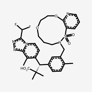 Cc1ccc([C@@H](c2ccn3c(C(F)F)nnc3c2C)C(C)(C)C(=O)O)cc1CN1CCCOCCOc2ncccc2S1(=O)=O